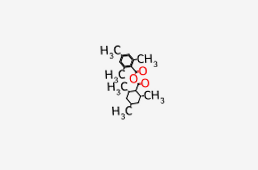 Cc1cc(C)c(C(=O)OC(=O)C2[C@H](C)CC(C)C[C@@H]2C)c(C)c1